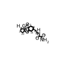 CS(=O)(=O)c1ccc(CCNC(=O)C(N)=O)cc1OC1CCCC1